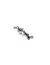 COCCCn1c(C2CCCN(C(=O)CC(N)Cc3ccc(-c4ccc(C(=O)NCCO)cc4)cc3)C2)nc2ccccc21